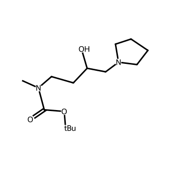 CN(CCC(O)CN1CCCC1)C(=O)OC(C)(C)C